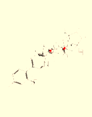 Cc1ccc(-c2cnc(OCC3C[C@@H]4CC[C@@H](C3)N4C(=O)OC3(C)CC3)nc2)c(F)c1